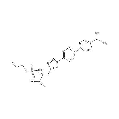 CCCCS(=O)(=O)NC(Cc1cn(-c2ccc(-c3ccc(C(=N)N)cc3)nn2)cn1)C(=O)O